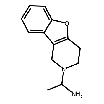 CC(N)N1CCc2oc3ccccc3c2C1